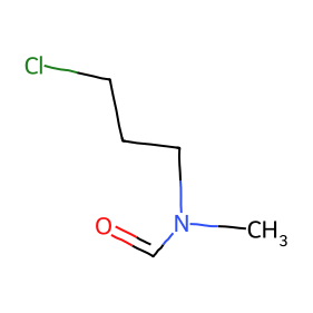 CN(C=O)CCCCl